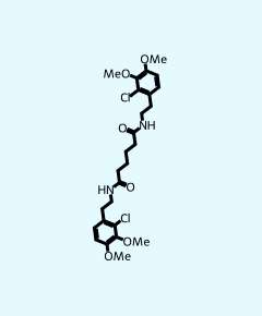 COc1ccc(CCNC(=O)CCCCC(=O)NCCc2ccc(OC)c(OC)c2Cl)c(Cl)c1OC